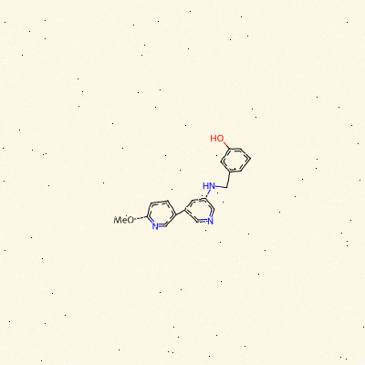 COc1ccc(-c2cncc(NCc3cccc(O)c3)c2)cn1